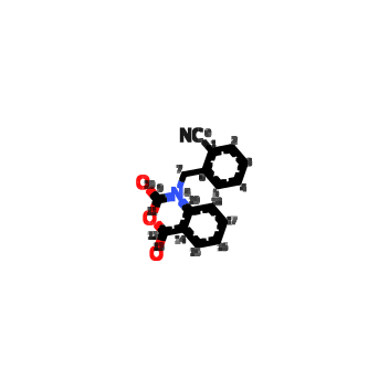 N#Cc1ccccc1Cn1c(=O)oc(=O)c2ccccc21